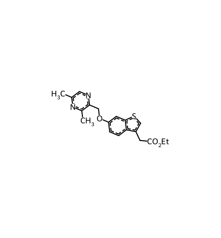 CCOC(=O)Cc1csc2cc(OCc3ncc(C)nc3C)ccc12